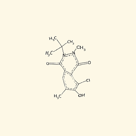 Cc1cc2c(=O)n(C(C)(C)C)n(C)c(=O)c2c(Cl)c1O